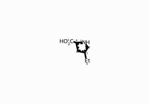 CCc1c[nH]c(C(=O)O)c1